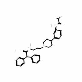 C=C(NCCCN1CCC(c2cccc(NC(=O)C(C)C)c2)CC1)C(c1ccccc1)c1ccccc1